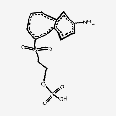 Nc1ccc2c(S(=O)(=O)CCOS(=O)(=O)O)cccc2c1